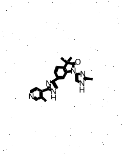 Cc1nc(N2C(=O)C(C)(C)c3ccc(-c4c[nH]c(-c5ccncc5C)n4)cc32)c[nH]1